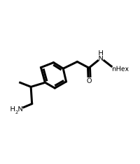 CCCCCCNC(=O)Cc1ccc(C(C)CN)cc1